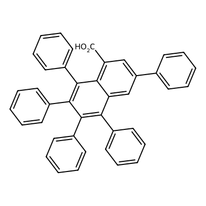 O=C(O)c1cc(-c2ccccc2)cc2c(-c3ccccc3)c(-c3ccccc3)c(-c3ccccc3)c(-c3ccccc3)c12